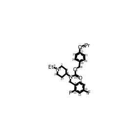 CCN1CCC(N(Cc2ccc(F)cc2F)C(=O)OCc2ccc(OC(C)C)cc2)CC1